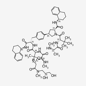 CN[C@@H](C)C(=O)N[C@H](C(=O)N1C[C@@H](c2ccc(C[C@H](NC(=O)[C@@H](NC(=O)[C@H](C)NC)C(C)(C)SCC(=O)N(C)C[C@@H](O)CO)C(=O)N[C@@H]3CCCc4ccccc43)cc2)C[C@H]1C(=O)N[C@@H]1CCCc2ccccc21)C(C)(C)C